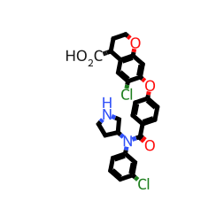 O=C(O)C1CCOc2cc(Oc3ccc(C(=O)N(c4cccc(Cl)c4)C4CCNC4)cc3)c(Cl)cc21